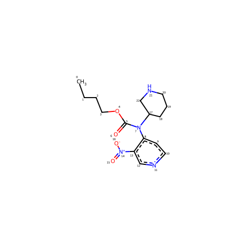 CCCCOC(=O)N(c1ccncc1[N+](=O)[O-])C1CCCNC1